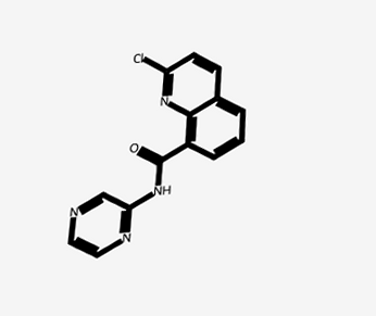 O=C(Nc1cnccn1)c1cccc2ccc(Cl)nc12